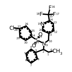 CCC(c1ccccc1)N(Cc1ccc(C(F)(F)F)nc1)S(=O)(=O)c1ccc(Cl)cc1